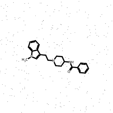 Cn1cc(CCN2CCC(NC(=O)c3ccccc3)CC2)c2ccccc21